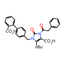 CCCCc1c(C(=O)O)n(C(=O)Cc2ccccc2)c(=O)n1Cc1ccc(-c2ccccc2C(=O)O)cc1